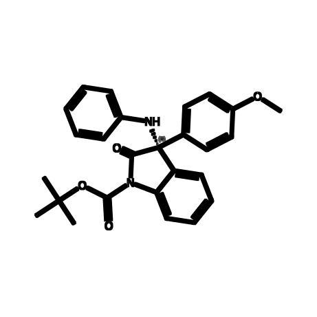 COc1ccc([C@]2(Nc3ccccc3)C(=O)N(C(=O)OC(C)(C)C)c3ccccc32)cc1